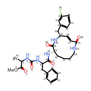 COC(=O)C(NC(=O)NC(Cc1ccccc1)C(=O)N[C@H]1CCCCNC(=O)/C=C/[C@H](Cc2cccc(F)c2)NC1=O)C(C)C